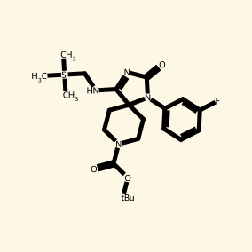 CC(C)(C)OC(=O)N1CCC2(CC1)C(NC[Si](C)(C)C)=NC(=O)N2c1cccc(F)c1